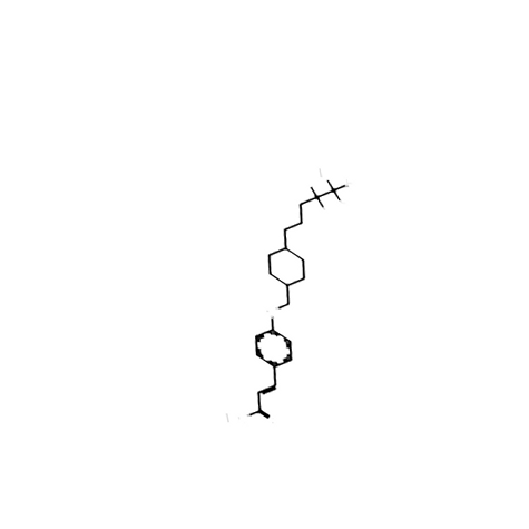 O=C(O)/C=C/c1ccc(OCC2CCC(CCCC(F)(F)C(F)(F)F)CC2)cc1